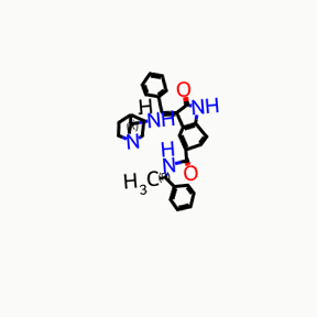 C[C@@H](NC(=O)c1ccc2c(c1)C(=C(N[C@H]1CN3CCC1CC3)c1ccccc1)C(=O)N2)c1ccccc1